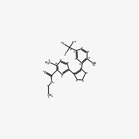 CCOC(=O)c1nc(C2=C(c3cc(C(F)(F)F)ccc3O)CCC2)ccc1C